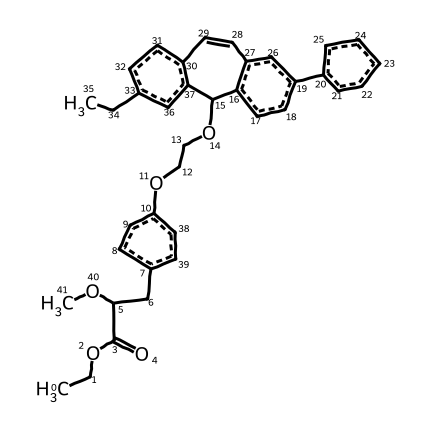 CCOC(=O)C(Cc1ccc(OCCOC2c3ccc(-c4ccccc4)cc3C=Cc3ccc(CC)cc32)cc1)OC